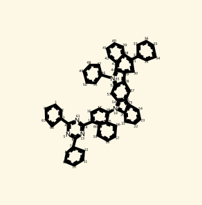 c1ccc(-c2nc(-c3ccccc3)nc(-c3ccc(-n4c5ccccc5c5cc6c7cc(-c8ccccc8)c8ccccc8c7n(-c7ccccc7)c6cc54)c4ccccc34)n2)cc1